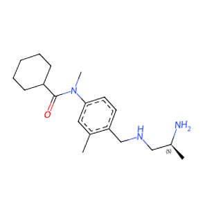 Cc1cc(N(C)C(=O)C2CCCCC2)ccc1CNC[C@H](C)N